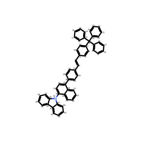 C(=C\c1ccc(C(c2ccccc2)(c2ccccc2)c2ccccc2)cc1)/c1ccc(-c2ccc(-n3c4ccccc4c4ccccc43)c3ccccc23)cc1